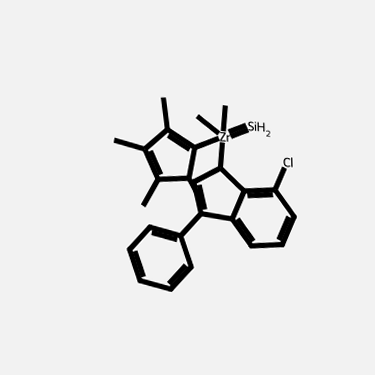 CC1=C(C)C(C)[C]([Zr]([CH3])([CH3])(=[SiH2])[CH]2C=C(c3ccccc3)c3cccc(Cl)c32)=C1C